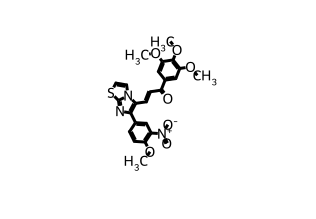 COc1ccc(-c2nc3sccn3c2C=CC(=O)c2cc(OC)c(OC)c(OC)c2)cc1[N+](=O)[O-]